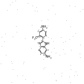 Nc1ccc(-c2nc3ccc(N)cc3[nH]2)c(C(F)(F)F)c1